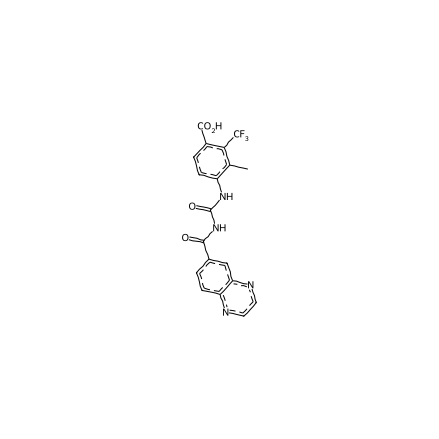 Cc1c(NC(=O)NC(=O)c2ccc3nccnc3c2)ccc(C(=O)O)c1C(F)(F)F